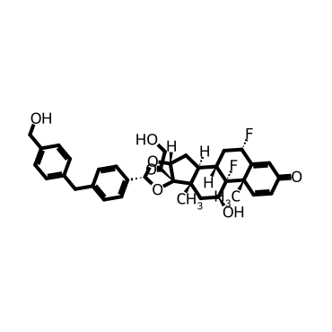 C[C@]12C=CC(=O)C=C1[C@@H](F)C[C@H]1[C@@H]3C[C@H]4O[C@@H](c5ccc(Cc6ccc(CO)cc6)cc5)O[C@@]4(C(=O)CO)[C@@]3(C)C[C@H](O)[C@@]12F